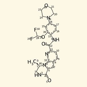 C[C@@H]1CNC(=O)c2cc3ccc(C(=O)Nc4ccc(N5CCOCC5)cc4OC(F)F)nc3n21